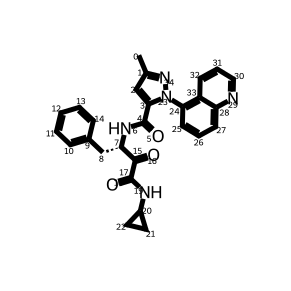 Cc1cc(C(=O)N[C@@H](Cc2ccccc2)C(=O)C(=O)NC2CC2)n(-c2cccc3ncccc23)n1